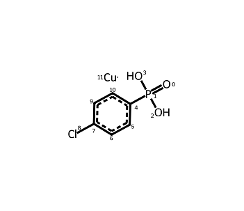 O=P(O)(O)c1ccc(Cl)cc1.[Cu]